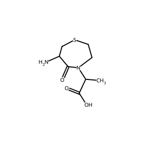 CC(C(=O)O)N1CCSCC(N)C1=O